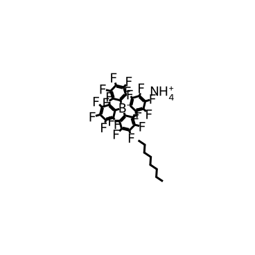 CCCCCCCC.Fc1c(F)c(F)c([B-](c2c(F)c(F)c(F)c(F)c2F)(c2c(F)c(F)c(F)c(F)c2F)c2c(F)c(F)c(F)c(F)c2F)c(F)c1F.[NH4+]